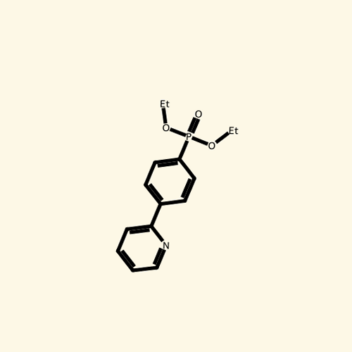 CCOP(=O)(OCC)c1ccc(-c2ccccn2)cc1